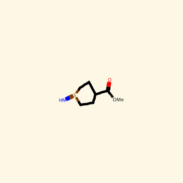 COC(=O)C1CCS(=N)CC1